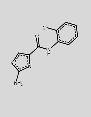 Nc1nc(C(=O)Nc2ccccc2Cl)cs1